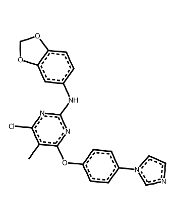 Cc1c(Cl)nc(Nc2ccc3c(c2)OCO3)nc1Oc1ccc(-n2ccnc2)cc1